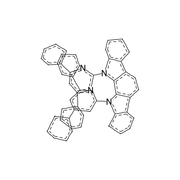 c1ccc(-c2cc(-c3ccccc3)cc(-n3c4ccccc4c4ccc5c6ccccc6n(-c6nc(-c7ccccc7)cc(-c7ccccc7)n6)c5c43)c2)cc1